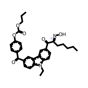 CCCCC/C(=N\O)C(=O)c1ccc2c(c1)c1cc(C(=O)c3ccc(OC(=O)OCCC)cc3)ccc1n2CC